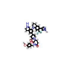 COc1ccc(CN2C(=O)CCC(n3ccc(-c4cc5c(c(N6CCCc7cc(-c8cnn(C)c8)c(C(F)F)cc76)c4)CNCC5)cc3=O)C2=O)cc1